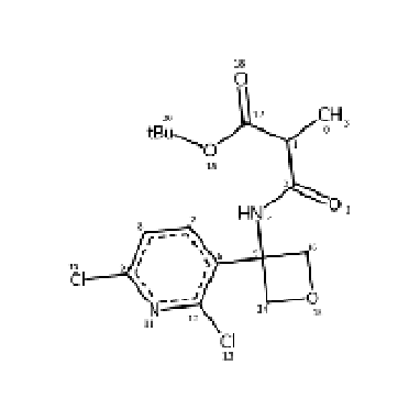 CC(C(=O)NC1(c2ccc(Cl)nc2Cl)COC1)C(=O)OC(C)(C)C